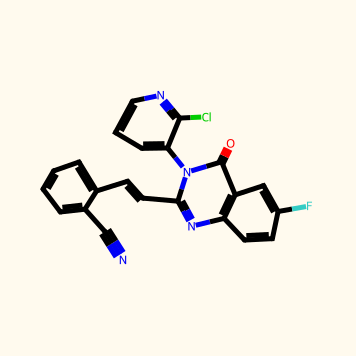 N#Cc1ccccc1C=Cc1nc2ccc(F)cc2c(=O)n1-c1cccnc1Cl